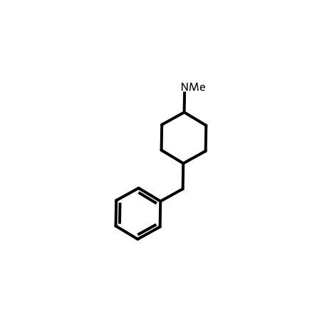 CNC1CCC(Cc2ccccc2)CC1